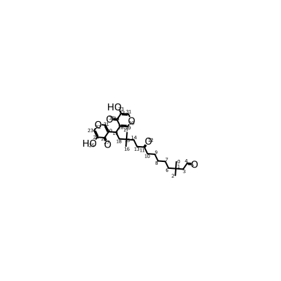 CC(C)(CC=O)CCCCCC(=O)CCC(C)(C)CC(c1cocc(O)c1=O)c1cocc(O)c1=O